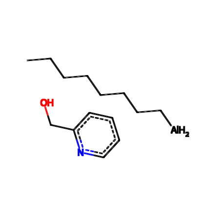 CCCCCCC[CH2][AlH2].OCc1ccccn1